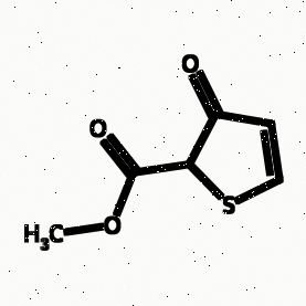 COC(=O)C1SC=CC1=O